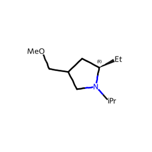 CC[C@@H]1CC(COC)CN1C(C)C